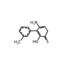 Cc1cccc(C2=C(O)C(=S)CC=C2N)c1